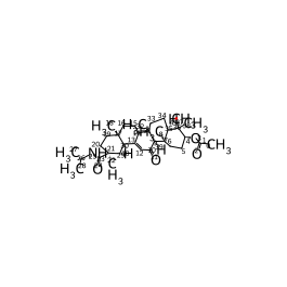 CC(=O)O[C@H]1CC[C@]2(C)[C@H]3C(=O)C=C4C(CC[C@@]5(C)CC[C@](C)(C(=O)NC(C)C)C[C@@H]45)[C@]3(C)CC[C@H]2C1(C)C